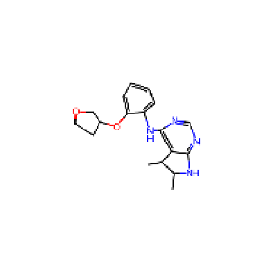 CC1Nc2ncnc(Nc3ccccc3OC3CCOC3)c2C1C